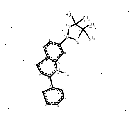 CC1(C)OB(c2ccc3ccc(-c4ccccc4)[n+]([O-])c3c2)OC1(C)C